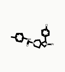 Cc1ccc(NC(=O)N2CCC3(CC2)CN(C(C)C)C3c2ccc(Cl)cc2)cc1